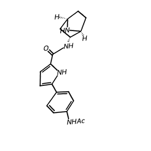 CC(=O)Nc1ccc(-c2ccc(C(=O)N[C@@H]3C[C@H]4CC[C@@H]3N4)[nH]2)cc1